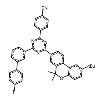 CC(C)(C)c1ccc2c(c1)-c1ccc(-c3nc(-c4ccc(C#N)cc4)nc(-c4cccc(-c5ccc(F)cc5)c4)n3)cc1C(C)(C)O2